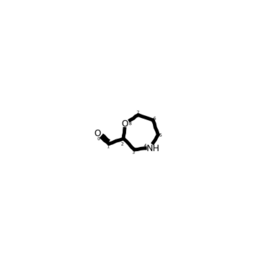 O=CC1CNCCCO1